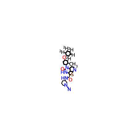 [2H]c1c([2H])c([2H])c(Oc2ccc(N3C(=O)Nc4c(C(=O)NC5CCCN(C#N)C5)sc5nccc3c45)c(C)c2)c([2H])c1[2H]